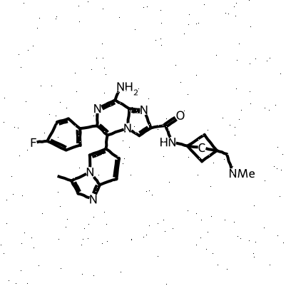 CNCC12CC(NC(=O)c3cn4c(-c5ccc6ncc(C)n6c5)c(-c5ccc(F)cc5)nc(N)c4n3)(C1)C2